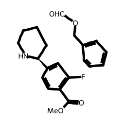 COC(=O)c1ccc([C@@H]2CCCCN2)cc1F.O=COCc1ccccc1